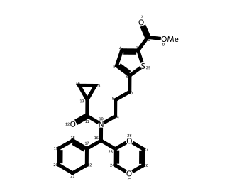 COC(=O)c1ccc(CCCN(C(=O)C2CC2)C(C2=CC=CCC2)C2=COC=CO2)s1